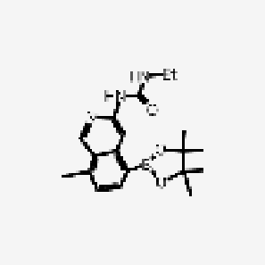 CCNC(=O)Nc1cc2c(B3OC(C)(C)C(C)(C)O3)ccc(C)c2cn1